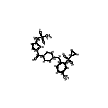 CS(=O)(=O)Nc1ccn(C(=O)N2CCN(Cc3ccc(C(F)(F)F)cc3S(=O)(=O)C3CC3)CC2)n1